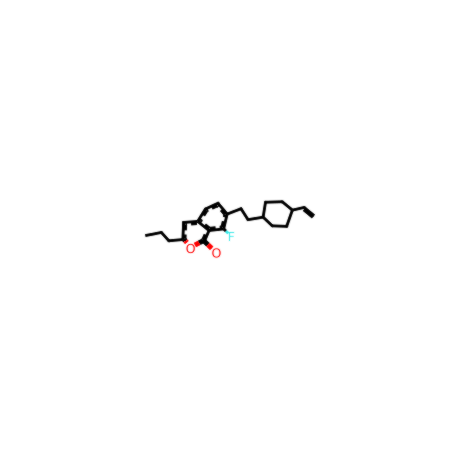 C=CC1CCC(CCc2ccc3cc(CCC)oc(=O)c3c2F)CC1